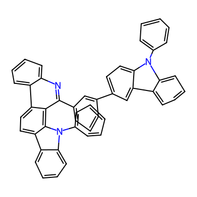 c1ccc(-n2c3ccccc3c3cc(-c4cccc(-c5nc6ccccc6c6ccc7c8ccccc8n(-c8ccccc8)c7c56)c4)ccc32)cc1